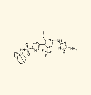 Nc1nc(Nc2cc(CI)c(-c3ccc(S(=O)(=O)NC45CC6CC(CC(C6)C4)C5)nc3)c(C(F)(F)F)c2)n[nH]1